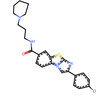 O=C(NCCCN1CCCCC1)c1ccc2c(c1)sc1nc(-c3ccc(Cl)cc3)cn12